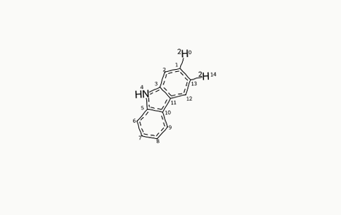 [2H]c1cc2[nH]c3ccccc3c2cc1[2H]